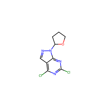 Clc1nc(Cl)c2cnn(C3CCCO3)c2n1